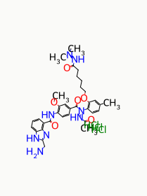 COc1cc(C(=O)N(NC(C)=O)c2ccc(C)cc2OCCCCCC(=O)NN(C)C)ccc1NC(=O)c1cccc2[nH]c(CN)nc12.Cl.Cl.Cl